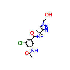 CC(=O)Nc1cc(Cl)cc(C(=O)NC(C)(C)c2cn(CCO)nn2)c1